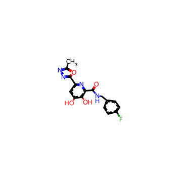 Cc1nnc(-c2cc(O)c(O)c(C(=O)NCc3ccc(F)cc3)n2)o1